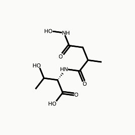 CC(CC(=O)NO)C(=O)N[C@H](C(=O)O)C(C)O